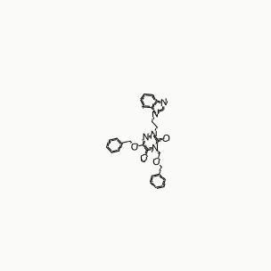 O=c1c(OCc2ccccc2)nn(CCn2cnc3ccccc32)c(=O)n1COCc1ccccc1